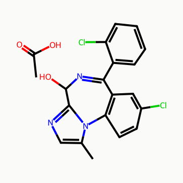 CC(=O)O.Cc1cnc2n1-c1ccc(Cl)cc1C(c1ccccc1Cl)=NC2O